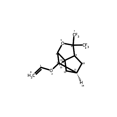 C=COC1C2OC(C(F)(F)F)(C(F)(F)F)C3C[C@H]1C[C@H]23